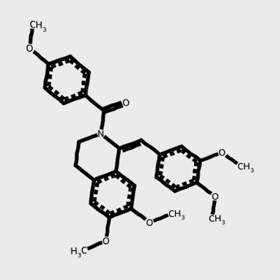 COc1ccc(C(=O)N2CCc3cc(OC)c(OC)cc3C2=Cc2ccc(OC)c(OC)c2)cc1